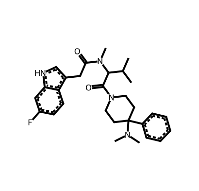 CC(C)C(C(=O)N1CCC(c2ccccc2)(N(C)C)CC1)N(C)C(=O)Cc1c[nH]c2cc(F)ccc12